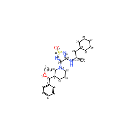 CCCCOC(c1ccccc1)C1CCCN(c2n[s+]([O-])nc2N[C@H](CC)CC2CCCCC2)C1